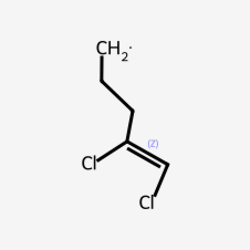 [CH2]CC/C(Cl)=C/Cl